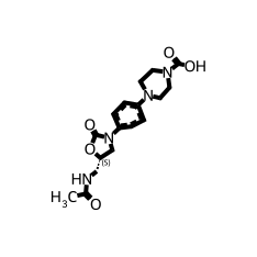 CC(=O)NC[C@H]1CN(c2ccc(N3CCN(C(=O)O)CC3)cc2)C(=O)O1